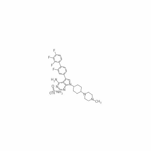 CN1CCN(C2CCC(n3cc(-c4ccc(-c5ccc(F)c(F)c5F)c(F)c4)c4c(N)ncnc43)CC2)CC1.N[SH](=O)=O